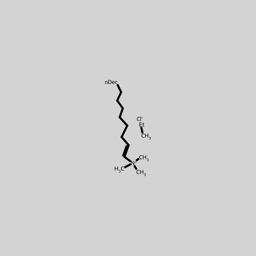 CCC.CCCCCCCCCCCCCCCCC=C[N+](C)(C)C.[Cl-]